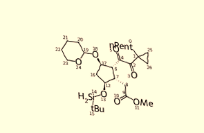 CCCCCC1(C(=O)C(=O)[C@@H]2[C@H](CC(=O)OC)[C@@H](O[SiH2]C(C)(C)C)C[C@H]2OC2CCCCO2)CC1